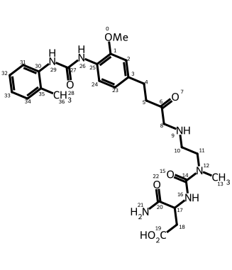 COc1cc(CCC(=O)CNCCN(C)C(=O)NC(CC(=O)O)C(N)=O)ccc1NC(=O)Nc1ccccc1C